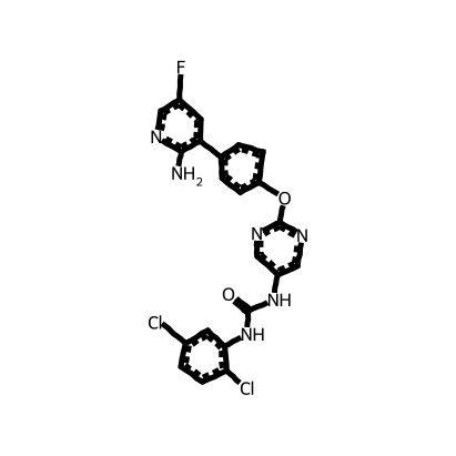 Nc1ncc(F)cc1-c1ccc(Oc2ncc(NC(=O)Nc3cc(Cl)ccc3Cl)cn2)cc1